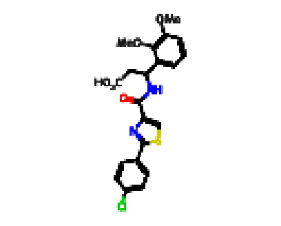 COc1cccc(C(CC(=O)O)NC(=O)c2csc(-c3ccc(Cl)cc3)n2)c1OC